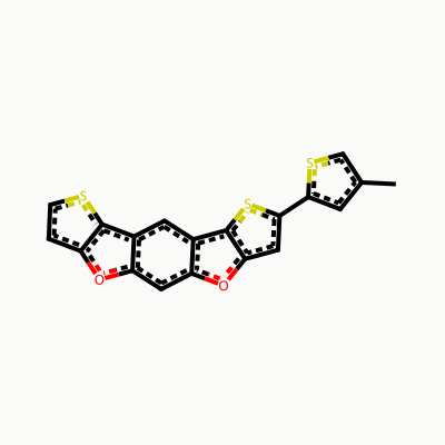 Cc1csc(-c2cc3oc4cc5oc6ccsc6c5cc4c3s2)c1